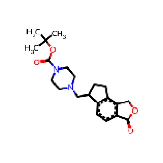 CC(C)(C)OC(=O)N1CCN(CC2CCc3c2ccc2c3COC2=O)CC1